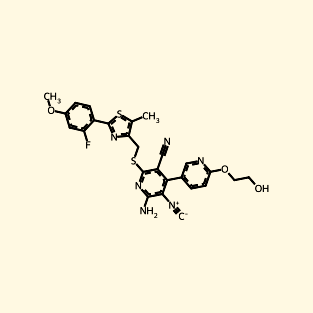 [C-]#[N+]c1c(N)nc(SCc2nc(-c3ccc(OC)cc3F)sc2C)c(C#N)c1-c1ccc(OCCO)nc1